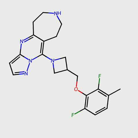 Cc1ccc(F)c(OCC2CN(c3c4c(nc5ccnn35)CCNCC4)C2)c1F